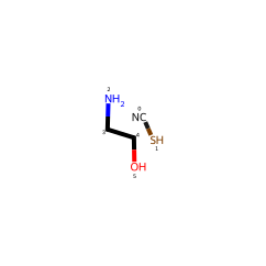 N#CS.NCCO